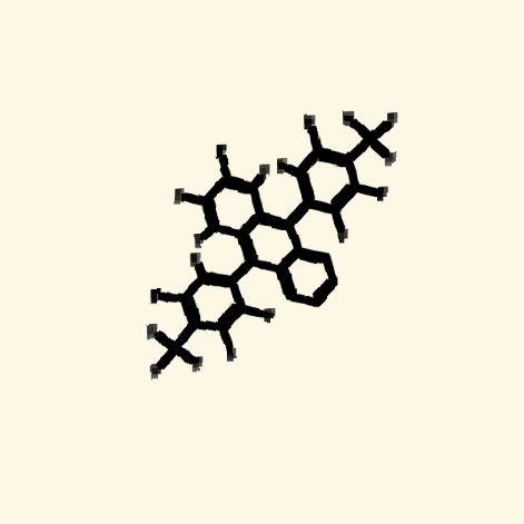 Fc1c(F)c(C(F)(F)F)c(F)c(F)c1-c1c2ccccc2c(-c2c(F)c(F)c(C(F)(F)F)c(F)c2F)c2c(F)c(F)c(F)c(F)c12